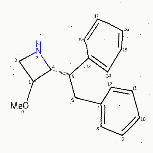 COC1CN[C@@H]1C(Cc1ccccc1)c1ccccc1